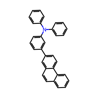 c1ccc(N(c2ccccc2)c2cccc(-c3ccc4c(ccc5ccccc54)c3)c2)cc1